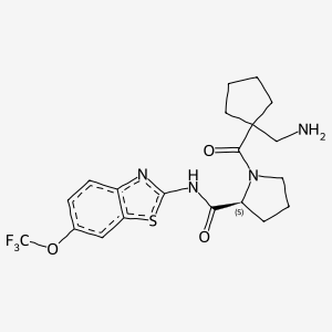 NCC1(C(=O)N2CCC[C@H]2C(=O)Nc2nc3ccc(OC(F)(F)F)cc3s2)CCCC1